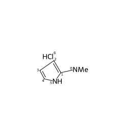 CNc1ccc[nH]1.Cl